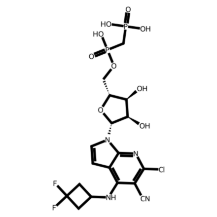 N#Cc1c(Cl)nc2c(ccn2[C@@H]2O[C@H](COP(=O)(O)CP(=O)(O)O)[C@@H](O)[C@H]2O)c1NC1CC(F)(F)C1